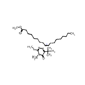 CCCCCCCC/C=C\CCCCCCCC(=O)OC.CSc1nnc(C(C)(C)C)c(=O)n1N